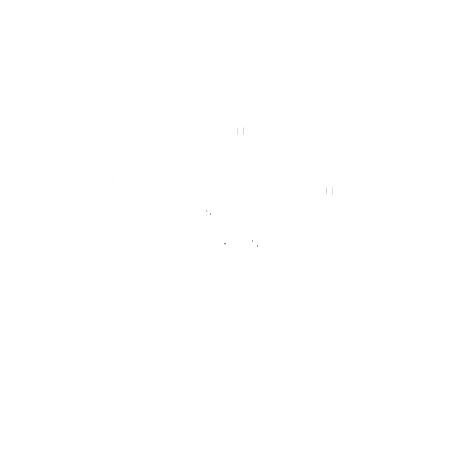 C=CCN(CC=C)[SiH](C1CCCCO1)N(CC=C)CC=C